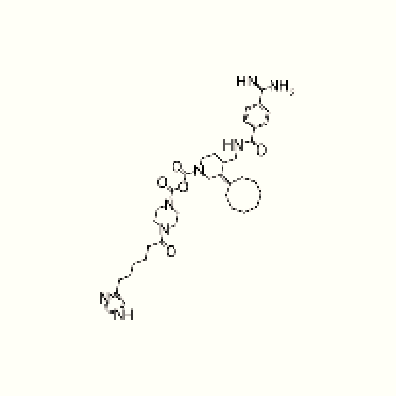 N=C(N)c1ccc(C(=O)NCC2CCN(C(=O)OC(=O)N3CCN(C(=O)CCCCCc4c[nH]cn4)CC3)CC2=C2CCCCCCC2)cc1